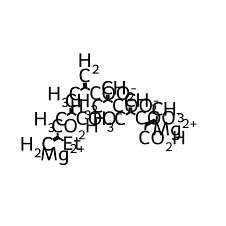 C=C(C)C(=O)[O-].C=C(C)C(=O)[O-].C=C(C)C(=O)[O-].C=C(C)C(=O)[O-].C=C(CC)C(=O)O.CC=CC(=O)O.[Mg+2].[Mg+2]